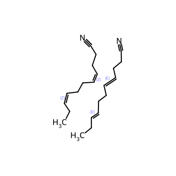 CC/C=C/CC/C=C/CCC#N.CC/C=C\CC/C=C\CCC#N